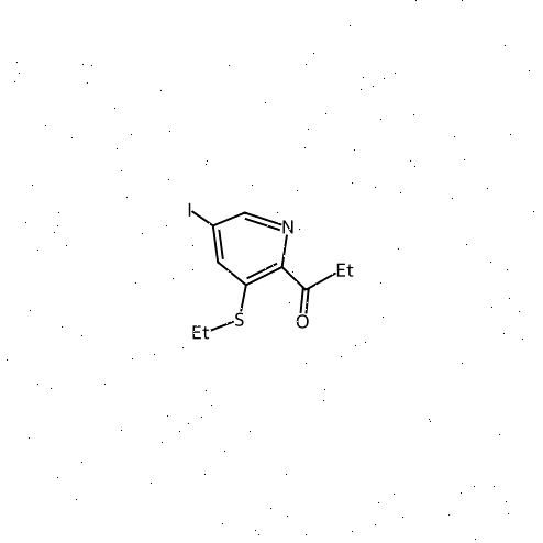 CCSc1cc(I)cnc1C(=O)CC